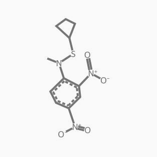 CN(SC1CCC1)c1ccc([N+](=O)[O-])cc1[N+](=O)[O-]